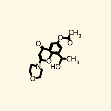 CC(=O)Oc1cc(C(C)O)c2oc(N3CCOCC3)cc(=O)c2c1